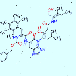 CC[C@H](C)[C@@H](CO)NC(=O)C[C@H](O)[C@H](CC(C)C)NC(=O)[C@H](Cc1c[nH]cn1)NC(=O)[C@H](Cc1c(C)c(C)c(C)c(C)c1C)NC(=O)OCc1ccccc1